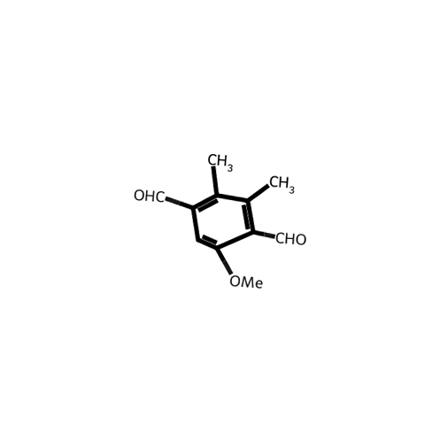 COc1cc(C=O)c(C)c(C)c1C=O